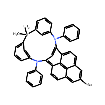 CC(C)(C)c1cc2ccc3c4cc(c5ccc(c1)c2c35)N(c1ccccc1)c1cccc(c1)[Si](C)(C)c1cccc(c1)N4c1ccccc1